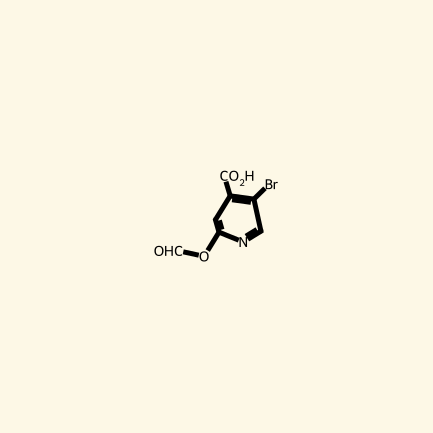 O=COc1cc(C(=O)O)c(Br)cn1